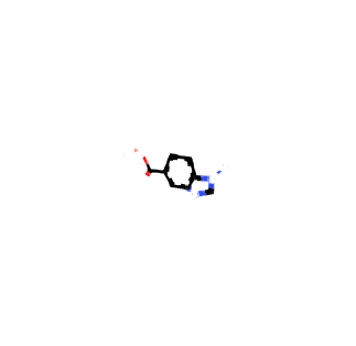 COC(=O)c1ccc2c(c1)ncn2N